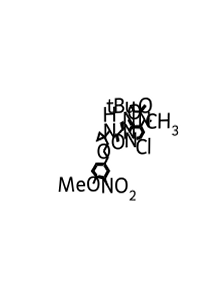 COc1ccc(COCC2(NC(=O)c3cnc4c(N(C)C(=O)OC(C)(C)C)cc(Cl)nn34)CC2)cc1[N+](=O)[O-]